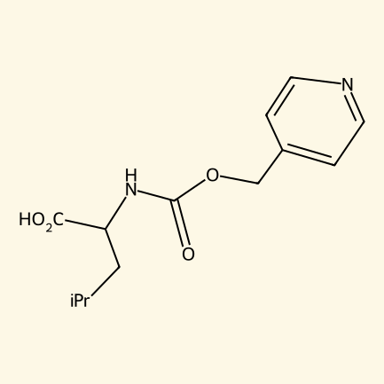 CC(C)CC(NC(=O)OCc1ccncc1)C(=O)O